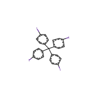 Ic1ccc(C(c2ccc(I)cc2)(c2ccc(I)cc2)c2ccc(I)cc2)cc1